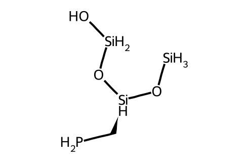 O[SiH2]O[Si@H](CP)O[SiH3]